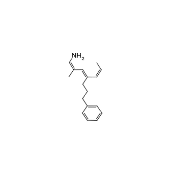 C\C=C/C(=C/C(C)=C\N)CCCc1ccccc1